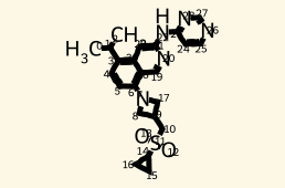 CC(C)c1ccc(N2CC(CS(=O)(=O)C3CC3)C2)c2cnc(Nc3ccncn3)cc12